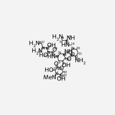 CN[C@@H]1C(O)[C@@H](OC2C(O)C(O[C@H]3O[C@H](CNC(=N)CN)CCC3N)[C@@H](N)C[C@H]2NC(=O)[C@@H](O)[C@@H](O)[C@@H](N)CN)OCC1(C)O